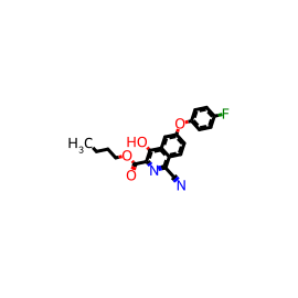 CCCCOC(=O)c1nc(C#N)c2ccc(Oc3ccc(F)cc3)cc2c1O